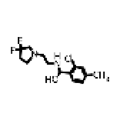 Cc1ccc(C(O)NCCN2CCC(F)(F)C2)c(Cl)c1